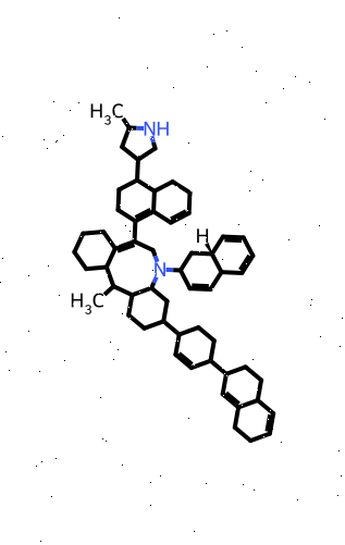 CC1CC(C2CCC(/C3=C4\CCCCC4C(C)C4CCC(C5C=CC(C6C=C7CCC=CC7CC6)CC5)CC4N(C4C=CC5C=CC=C[C@H]5C4)C3)=C3C=CCCC32)CN1